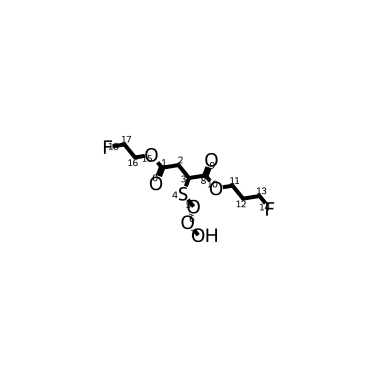 O=C(CC(SOOO)C(=O)OCCCF)OCCF